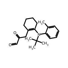 Cc1ccccc1N(C1=C(CC(=O)C=O)CCCC1)C(C)(C)C